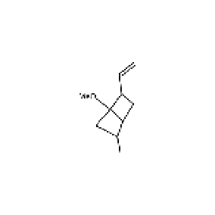 C=CC1CC2C(C)CC12OC